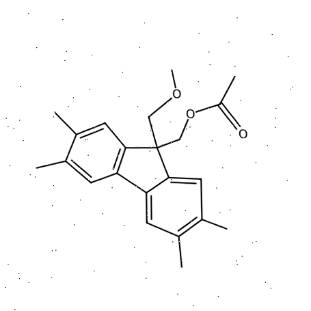 COCC1(COC(C)=O)c2cc(C)c(C)cc2-c2cc(C)c(C)cc21